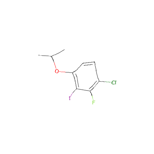 CC(C)Oc1ccc(Cl)c(F)c1I